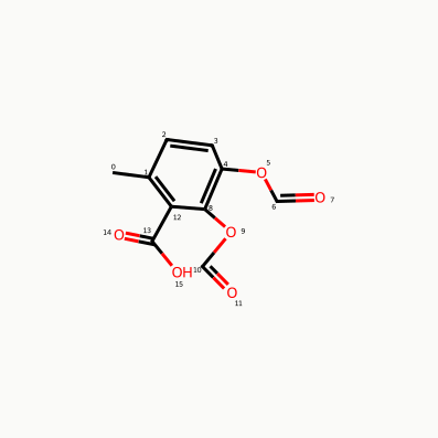 Cc1ccc(OC=O)c(OC=O)c1C(=O)O